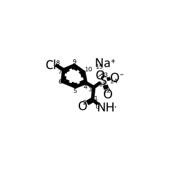 [NH]C(=O)C(c1ccc(Cl)cc1)S(=O)(=O)[O-].[Na+]